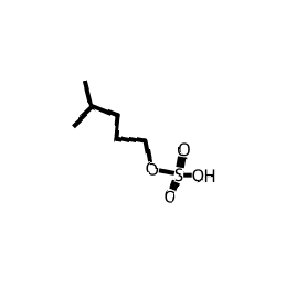 CC(C)CCCOS(=O)(=O)O